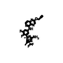 C#CCOc1cnc2c(Nc3cc(F)c(F)c([C@@]4(C)N=C(N)S[C@]5(C(F)F)[C@H]4[C@@H]5C)c3)nccc2n1